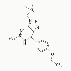 CC(C)(C)[S+]([O-])N[C@@H](c1ccc(OCC(F)(F)F)cc1)c1cn(C[Si](C)(C)C)nn1